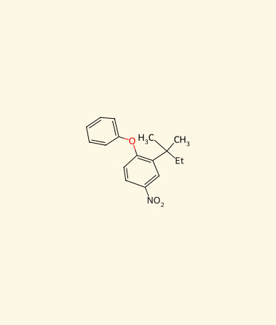 CCC(C)(C)c1cc([N+](=O)[O-])ccc1Oc1ccccc1